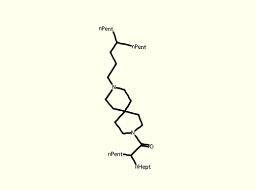 CCCCCCCC(CCCCC)C(=O)N1CCC2(CCN(CCCC(CCCCC)CCCCC)CC2)CC1